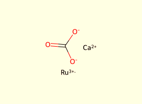 O=C([O-])[O-].[Ca+2].[Ru+3]